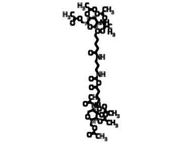 CC(=O)N[C@H]1[C@H](OCCCCC(=O)NCCCNC(=O)OC(=O)CCCCOC2(OC(C)=O)[C@@H](NC(C)=O)CO[C@H](COC(C)=O)[C@@H]2OC(C)=O)O[C@H](COC(C)=O)[C@H](OC(C)=O)[C@@H]1OC(C)=O